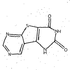 O=c1[nH]c(=O)c2sc3ncncc3c2[nH]1